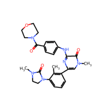 Cc1c(-c2cn(C)c(=O)c(Nc3ccc(C(=O)N4CCOCC4)cc3)n2)cccc1N1CCN(C)C1=O